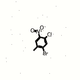 Cc1cc([N+](=O)[O-])c(Cl)cc1Br